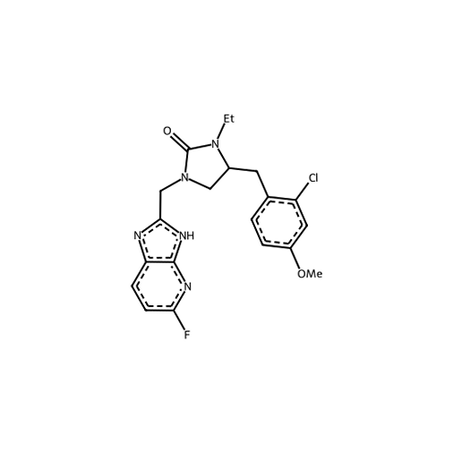 CCN1C(=O)N(Cc2nc3ccc(F)nc3[nH]2)CC1Cc1ccc(OC)cc1Cl